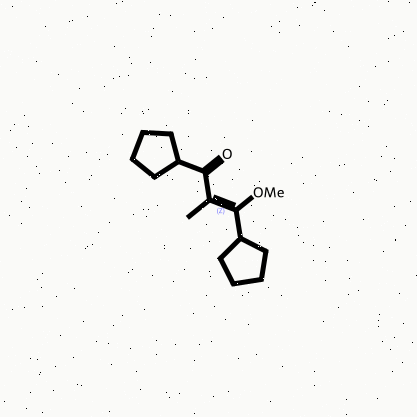 CO/C(=C(/C)C(=O)C1CCCC1)C1CCCC1